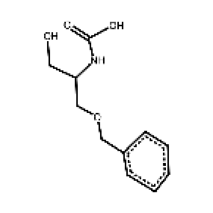 O=C(O)NC(CO)COCc1ccccc1